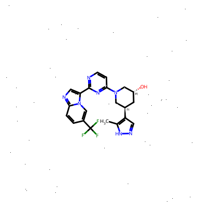 Cc1[nH]ncc1[C@@H]1C[C@@H](O)CN(c2ccnc(-c3cnc4ccc(C(F)(F)F)cn34)n2)C1